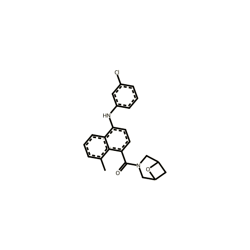 Cc1cccc2c(Nc3cccc(Cl)c3)ccc(C(=O)N3CC4CC(C3)O4)c12